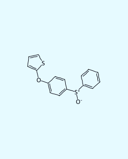 [O-][S+](c1ccccc1)c1ccc(Oc2cccs2)cc1